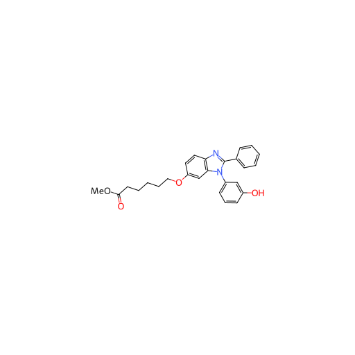 COC(=O)CCCCCOc1ccc2nc(-c3ccccc3)n(-c3cccc(O)c3)c2c1